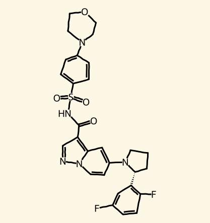 O=C(NS(=O)(=O)c1ccc(N2CCOCC2)cc1)c1cnn2ccc(N3CCC[C@@H]3c3cc(F)ccc3F)cc12